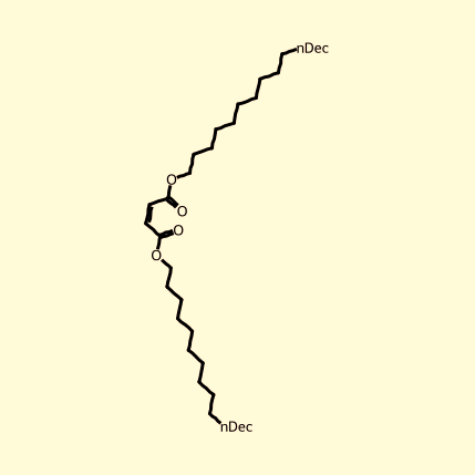 CCCCCCCCCCCCCCCCCCCCOC(=O)/C=C\C(=O)OCCCCCCCCCCCCCCCCCCCC